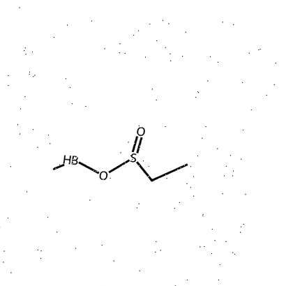 CBOS(=O)CC